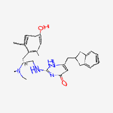 Cc1cc(O)cc(C)c1C[C@H](CNc1nc(=O)cc(CC2Cc3ccccc3C2)[nH]1)N(C)C